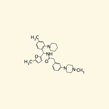 Cc1ccc(C(NC(=O)Cc2cccc(N3CCN(C)CC3)c2)c2ccc(C)o2)c(N2CCCCC2)c1